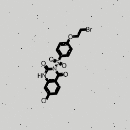 O=c1[nH]c2cc(Cl)ccc2c(=O)n1S(=O)(=O)c1ccc(OCCBr)cc1